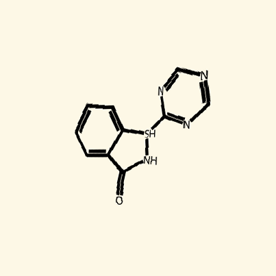 O=C1N[SH](c2ncncn2)c2ccccc21